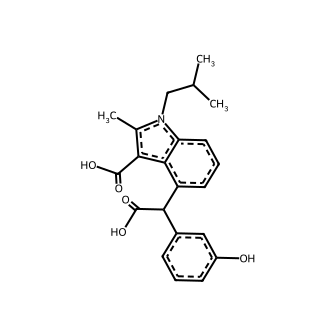 Cc1c(C(=O)O)c2c(C(C(=O)O)c3cccc(O)c3)cccc2n1CC(C)C